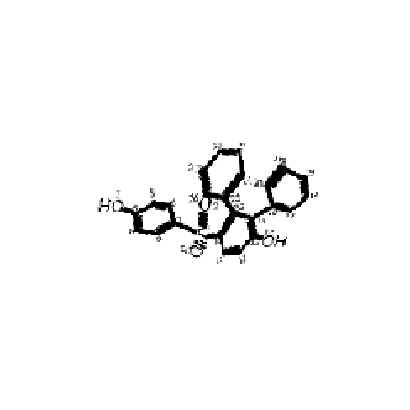 O=S(=O)(c1ccc(O)cc1)c1ccc(O)c(-c2ccccc2)c1-c1ccccc1